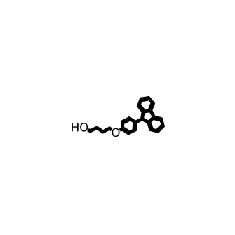 OCCCCOc1ccc(C2c3ccccc3-c3ccccc32)cc1